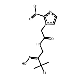 CC(C)(Cl)C(CNC(=O)Cn1ccnc1[N+](=O)[O-])=NO